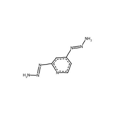 N/N=N/c1ccnc(/N=N/N)c1